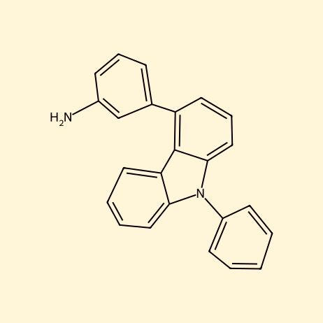 Nc1cccc(-c2cccc3c2c2ccccc2n3-c2ccccc2)c1